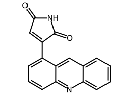 O=C1C=C(c2cccc3nc4ccccc4cc23)C(=O)N1